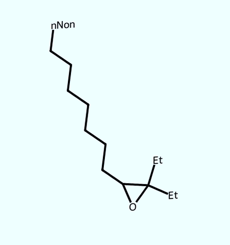 CCCCCCCCCCCCCCCCC1OC1(CC)CC